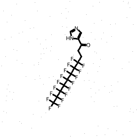 O=C(CCC(F)(F)C(F)(F)C(F)(F)C(F)(F)C(F)(F)C(F)(F)C(F)(F)C(F)(F)F)c1cnc[nH]1